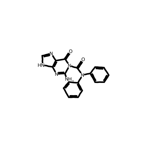 Nc1nc2[nH]cnc2c(=O)n1C(=O)N(c1ccccc1)c1ccccc1